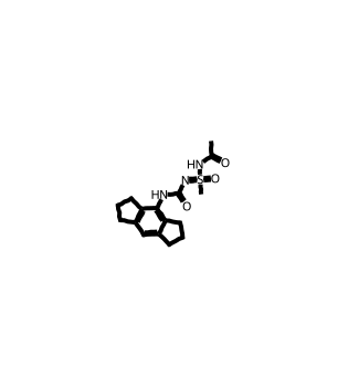 CC(=O)NS(C)(=O)=NC(=O)Nc1c2c(cc3c1CCC3)CCC2